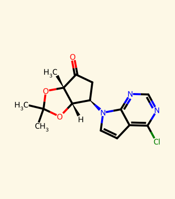 CC1(C)O[C@H]2[C@H](n3ccc4c(Cl)ncnc43)CC(=O)[C@@]2(C)O1